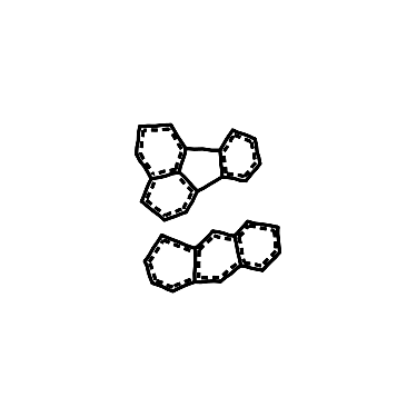 c1ccc2c(c1)-c1cccc3cccc-2c13.c1ccc2cc3ccccc3cc2c1